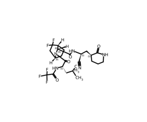 CC(C)C[C@H](NC(=O)C(F)(F)F)C(=O)N1[C@@H]2CC[C@H]([C@@H]1C(=O)N[C@H](C#N)C[C@@H]1CCCNC1=O)C(F)(F)C2